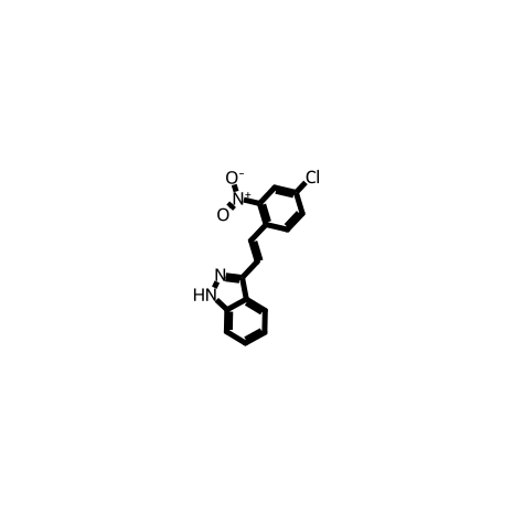 O=[N+]([O-])c1cc(Cl)ccc1C=Cc1n[nH]c2ccccc12